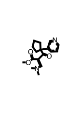 COC(=O)/C(=C\N(C)C)C(=O)C1(c2cccnc2)CCCC1